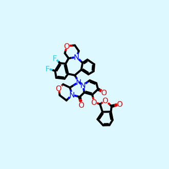 O=C1OC(Oc2c3n(ccc2=O)N(C2c4ccccc4N4CCOCC4c4c2ccc(F)c4F)C2COCCN2C3=O)c2ccccc21